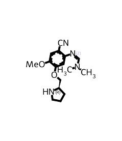 COc1cc(C#N)c(/N=C\N(C)C)cc1OC[C@H]1CCCN1